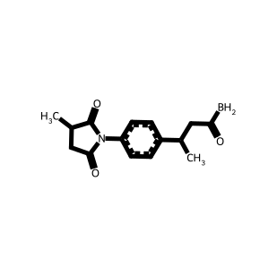 BC(=O)CC(C)c1ccc(N2C(=O)CC(C)C2=O)cc1